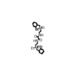 CC[N+](CC)(CCNC(=O)C(=O)NCC[N+](CC)(CC)Cc1ccccc1Br)Cc1ccccc1Br